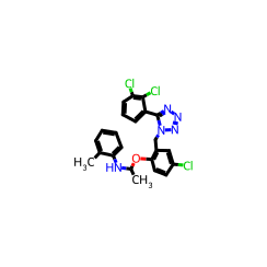 Cc1ccccc1NC(C)Oc1ccc(Cl)cc1Cn1nnnc1-c1cccc(Cl)c1Cl